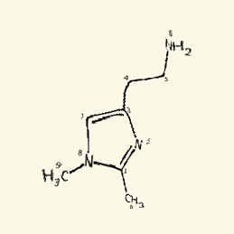 Cc1nc(CCN)cn1C